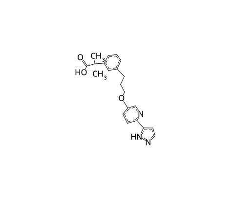 CC(C)(C(=O)O)c1cccc(CCCOc2ccc(-c3ccn[nH]3)nc2)c1